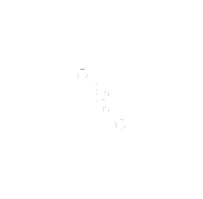 O=C(OCc1ccccc1)[C@@H]1CCCN1C(=O)CNC1Cc2ccccc2C1